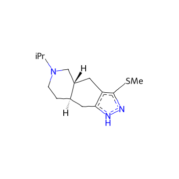 CSc1n[nH]c2c1C[C@H]1CN(C(C)C)CC[C@@H]1C2